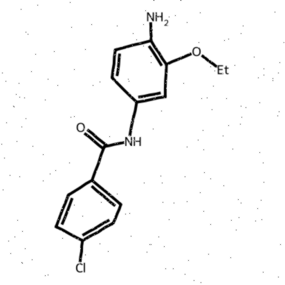 CCOc1cc(NC(=O)c2ccc(Cl)cc2)ccc1N